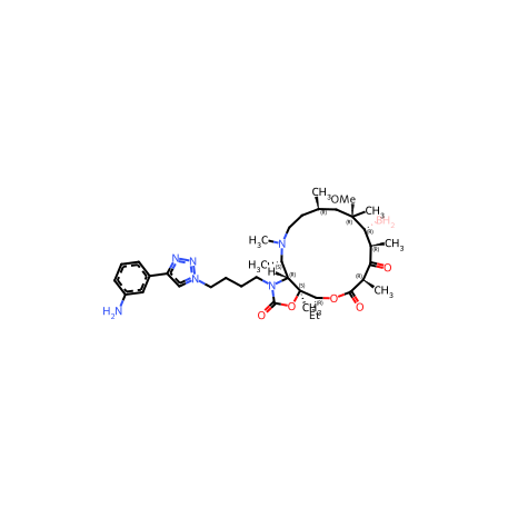 B[C@@H]1[C@@H](C)C(=O)[C@@H](C)C(=O)O[C@H](CC)[C@@]2(C)OC(=O)N(CCCCn3cc(-c4cccc(N)c4)nn3)[C@@H]2[C@H](C)N(C)CC[C@@H](C)C[C@@]1(C)OC